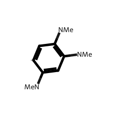 CNc1[c]cc(NC)c(NC)c1